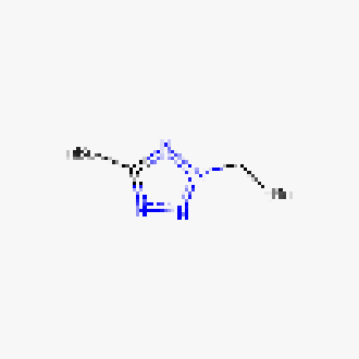 CCCCc1nnn(CC(C)(C)C)n1